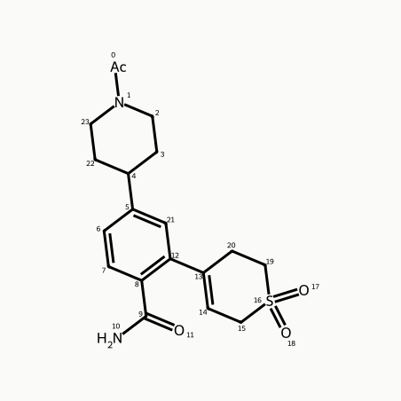 CC(=O)N1CCC(c2ccc(C(N)=O)c(C3=CCS(=O)(=O)CC3)c2)CC1